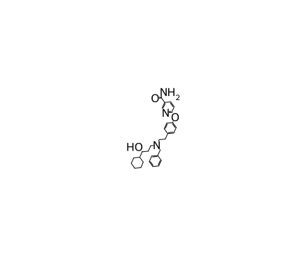 NC(=O)c1ccc(Oc2ccc(CCN(CCC(O)C3CCCCC3)Cc3ccccc3)cc2)nc1